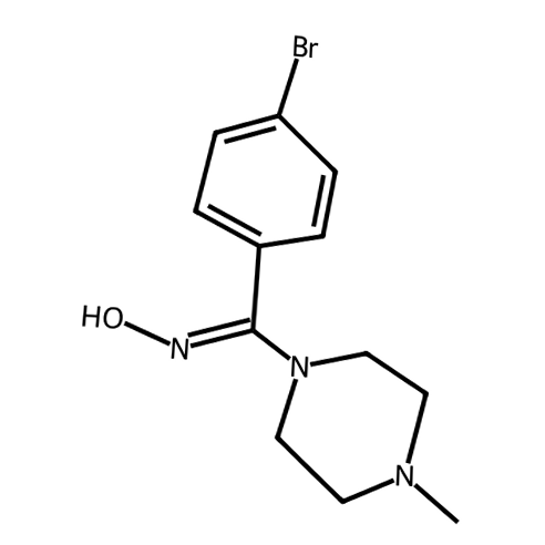 CN1CCN(C(=NO)c2ccc(Br)cc2)CC1